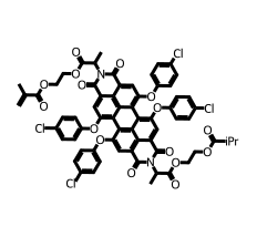 C=C(C)C(=O)OCCOC(=O)C(C)N1C(=O)c2cc(Oc3ccc(Cl)cc3)c3c4c(Oc5ccc(Cl)cc5)cc5c6c(cc(Oc7ccc(Cl)cc7)c(c7c(Oc8ccc(Cl)cc8)cc(c2c37)C1=O)c64)C(=O)N(C(C)C(=O)OCCOC(=O)C(C)C)C5=O